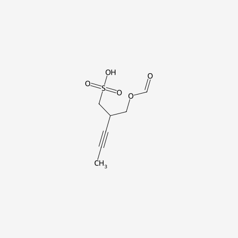 CC#CC(COC=O)CS(=O)(=O)O